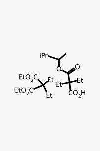 CCC(CC)(C(=O)O)C(=O)OC(C)C(C)C.CCOC(=O)C(CC)(CC)C(=O)OCC